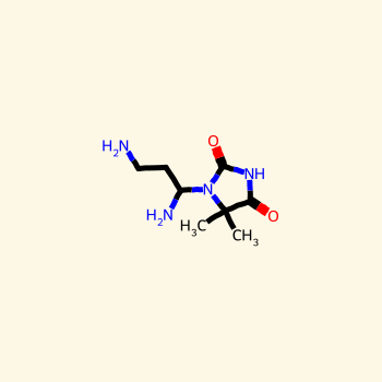 CC1(C)C(=O)NC(=O)N1C(N)CCN